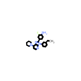 C=Cc1cccc(-n2c(-c3ccc(N)c(F)c3)nc3c(N4CCCCC4)ccnc32)c1